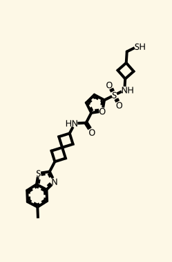 Cc1ccc2sc(C3CC4(CC(NC(=O)c5ccc(S(=O)(=O)NC6CC(CS)C6)o5)C4)C3)nc2c1